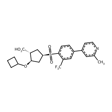 Cc1cc(-c2ccc(S(=O)(=O)[C@H]3C[C@@H](OC4CCC4)[C@H](C(=O)O)C3)c(C(F)(F)F)c2)ccn1